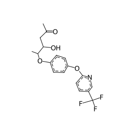 CC(=O)CC(O)C(C)Oc1ccc(Oc2ccc(C(F)(F)F)cn2)cc1